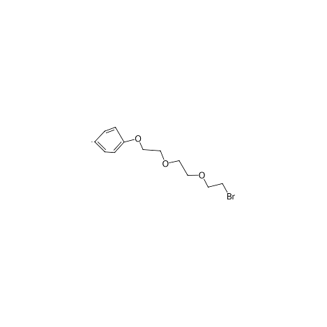 BrCCOCCOCCOc1cc[c]cc1